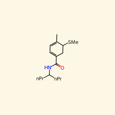 CCCC(CCC)NC(=O)C1=CC=C(C)C(SC)C1